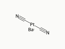 N#[C][Pt][C]#N.[Ba]